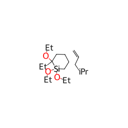 C=CCC(C)C.CCOC1(CC)CCCC[Si]1(OCC)OCC